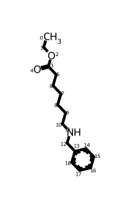 CCOC(=O)CCCCCCNCc1ccccc1